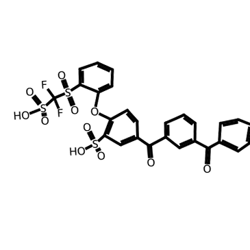 O=C(c1ccccc1)c1cccc(C(=O)c2ccc(Oc3ccccc3S(=O)(=O)C(F)(F)S(=O)(=O)O)c(S(=O)(=O)O)c2)c1